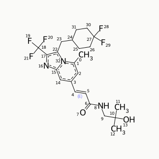 Cc1cc(/C=C/C(=O)NCC(C)(C)O)cc2nc(C(F)(F)F)c(CC3CCC(F)(F)CC3)n12